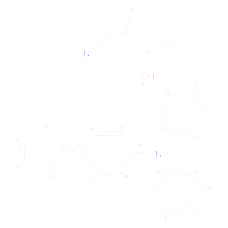 C=C(C#N)C(=O)O.c1ccc(N(c2ccccc2)c2ccc(-c3cccs3)cc2)cc1